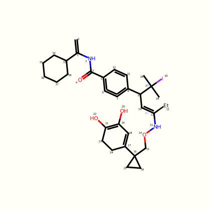 C=C(NC(=O)C1=C=C=C(C(/C=C(\CC)NOCC2(C3=CC(O)=C(O)CC3)CC2)C(C)(C)I)C=C1)C1CCCCC1